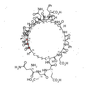 CC(C)C[C@H](NC(=O)[C@@H]1CSSC[C@@H]2NC(=O)[C@H](CC(C)C)NC(=O)[C@H](CCC(=O)O)NC(=O)[C@@H](NC(=O)[C@H](CCC(=O)O)NC(=O)[C@H](CC(=O)O)NC(=O)[C@@H](N)CC(N)=O)CSSC[C@H](NC(=O)[C@H](C)NC(=O)[C@H](C(C)C)NC(=O)[C@H](CC(N)=O)NC(=O)[C@H](C(C)C)NC2=O)C(=O)N[C@@H]([C@@H](C)O)C(=O)NCC(=O)N1)C(=O)O